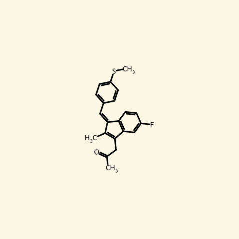 CSc1ccc(/C=C2/C(C)=C(CC(C)=O)c3cc(F)ccc32)cc1